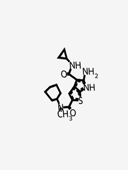 CN(C(=O)c1cc2c(C(=O)NC3CC3)c(N)[nH]c2s1)C1CCCCC1